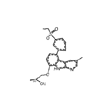 CCS(=O)(=O)c1cccc(-c2ccc(OC[C@H](C)O)c3[nH]c4ncc(C)cc4c23)c1